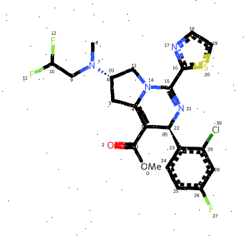 COC(=O)C1=C2C[C@H](N(C)CC(F)F)CN2C(c2nccs2)=N[C@H]1c1ccc(F)cc1Cl